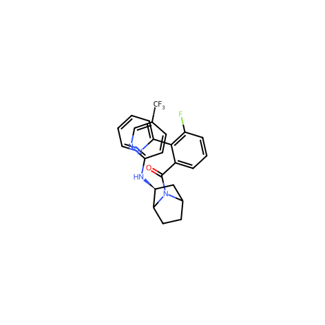 O=C(c1cccc(F)c1-c1ccccn1)N1C2CCC1[C@@H](Nc1ccc(C(F)(F)F)cn1)C2